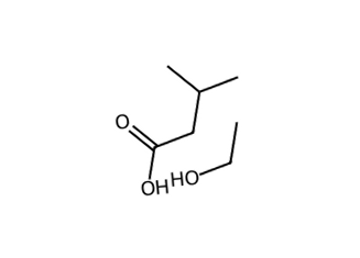 CC(C)CC(=O)O.CCO